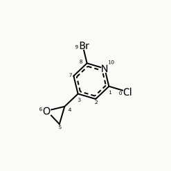 Clc1cc(C2CO2)cc(Br)n1